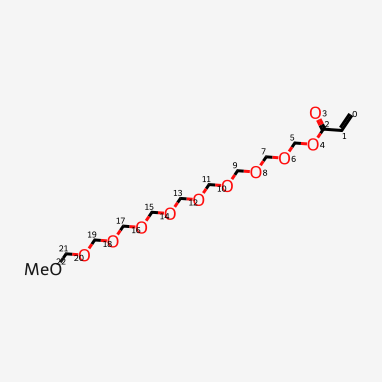 C=CC(=O)OCOCOCOCOCOCOCOCOCOC